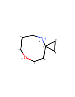 C1CNC2(CCOC1)CC2